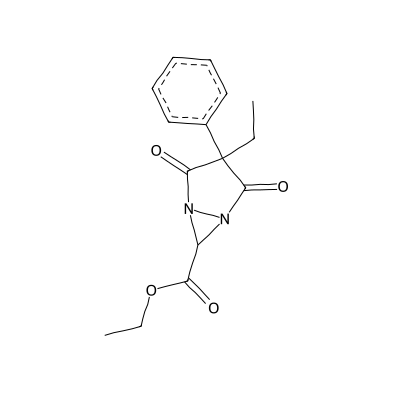 CCOC(=O)C1N2C(=O)C(CC)(c3ccccc3)C(=O)N12